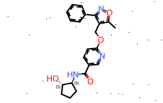 Cc1onc(-c2ccccc2)c1COc1ccc(C(=O)N[C@H]2CCC[C@@H]2O)cn1